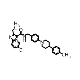 CCc1nc2ccc(Cl)cn2c1C(=O)NCc1ccc(N2CCC(c3ccc(C)cc3)CC2)cc1